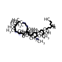 C#CCCC1(CCC(=O)O[C@H]2C[C@@H](O[C@@H]3C[C@](O)([C@@H](C)[C@H](O)[C@H](C)[C@H]4OC(=O)/C(OC)=C/C(C)=C/[C@@H](C)[C@@H](O)[C@@H](CC)[C@@H](O)[C@H](C)C/C(C)=C/C=C/[C@@H]4OC)O[C@H](/C=C/C)[C@H]3C)O[C@@H](C)[C@@H]2O)N=N1